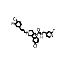 O=C(NCc1ccnc(F)c1)n1c2c(c3cc(Cl)ccc31)CN(CC=Cc1ccc(Cl)c(F)c1)CC2